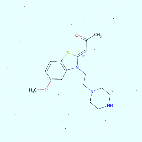 COc1ccc2c(c1)N(CCN1CCNCC1)/C(=C/C(C)=O)S2